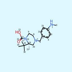 CNc1ccc(CN2CCN(C(=O)O)[C@](C)(C(C)(C)C)C2)cc1